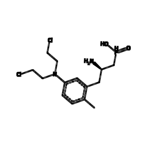 Cc1ccc(N(CCCl)CCCl)cc1C[C@@H](N)C[PH](=O)O